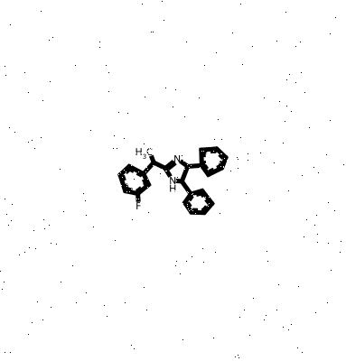 CC(C1=NC(c2ccccc2)C(c2ccccc2)N1)c1cccc(F)c1